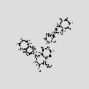 CC(=O)N1c2ccc(-c3cnn(-c4nc5ccccc5o4)c3)cc2N(c2nc3ccccc3o2)C[C@@H]1C